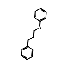 [CH](CCOc1ccccc1)c1ccccc1